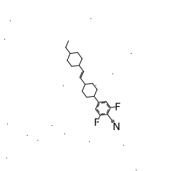 CCC1CCC(C=CC2CCC(c3cc(F)c(C#N)c(F)c3)CC2)CC1